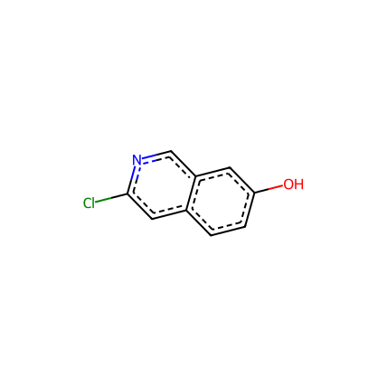 Oc1ccc2cc(Cl)ncc2c1